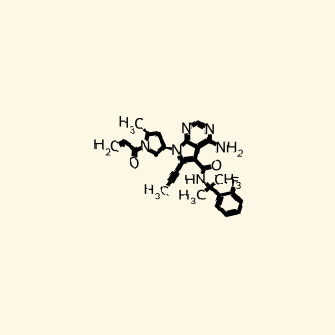 C=CC(=O)N1C[C@H](n2c(C#CC)c(C(=O)NC(C)(C)c3ccccc3F)c3c(N)ncnc32)C[C@@H]1C